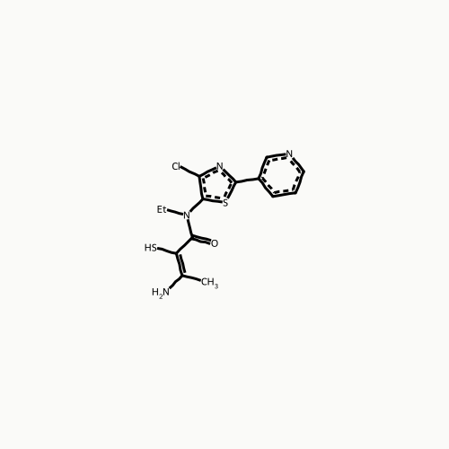 CCN(C(=O)/C(S)=C(\C)N)c1sc(-c2cccnc2)nc1Cl